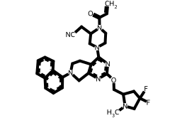 C=CC(=O)N1CCN(c2nc(OCC3CC(F)(F)CN3C)nc3c2CCN(c2cccc4ccccc24)C3)CC1CC#N